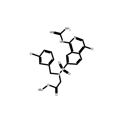 CC(C)(C)OC(=O)CN(Cc1cccc(Cl)c1)S(=O)(=O)c1ccc2c(Cl)cnc(NC(=N)N)c2c1